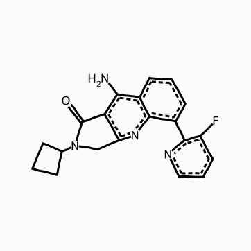 Nc1c2c(nc3c(-c4ncccc4F)cccc13)CN(C1CCC1)C2=O